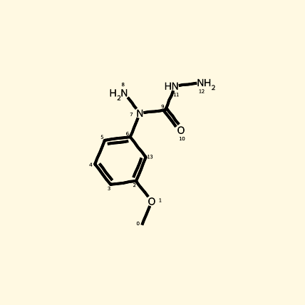 COc1cccc(N(N)C(=O)NN)c1